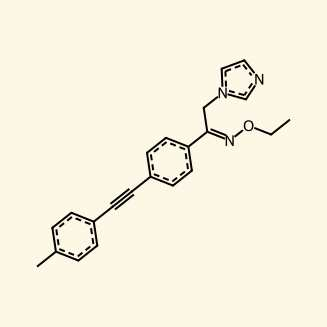 CCO/N=C(\Cn1ccnc1)c1ccc(C#Cc2ccc(C)cc2)cc1